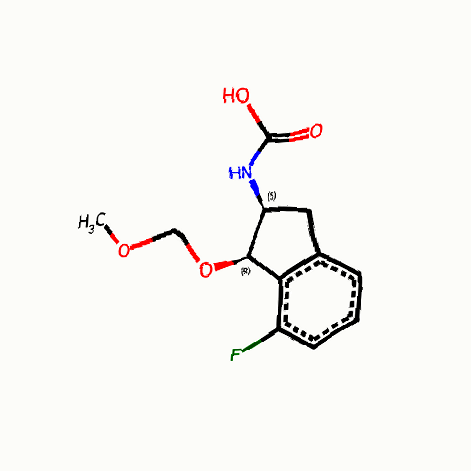 COCO[C@@H]1c2c(F)cccc2C[C@@H]1NC(=O)O